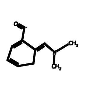 CN(C)C=C1CC=CC=C1[C]=O